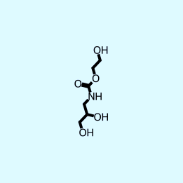 O=C(NCC(O)CO)OCCO